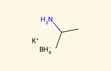 CC(C)N.[BH4-].[K+]